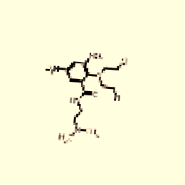 CN(C)CCNC(=O)c1cc([N+](=O)[O-])cc([N+](=O)[O-])c1N(CCCl)CCCl